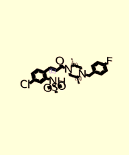 C[C@@H]1CN(Cc2ccc(F)cc2)[C@@H](C)CN1C(=O)/C=C/c1ccc(Cl)cc1NS(C)(=O)=O